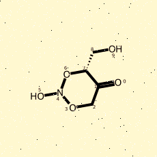 O=C1CON(O)O[C@@H]1CO